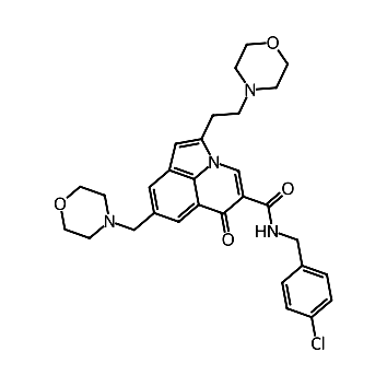 O=C(NCc1ccc(Cl)cc1)c1cn2c(CCN3CCOCC3)cc3cc(CN4CCOCC4)cc(c1=O)c32